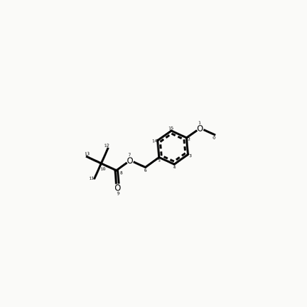 COc1ccc(COC(=O)C(C)(C)C)cc1